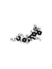 CCCc1nc(C)n(-c2ccc(O[C@H]3C[C@@H](C)O[C@@H](C)C3)cc2)c(=O)c1Cc1ccc(-c2ccccc2-c2noc(=O)[nH]2)cc1F